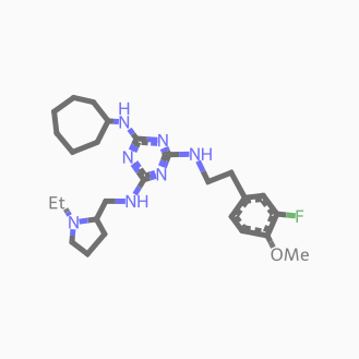 CCN1CCCC1CNc1nc(NCCc2ccc(OC)c(F)c2)nc(NC2CCCCCC2)n1